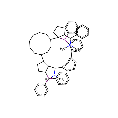 CN(C)[C@@H]1c2cccc(c2)-c2ccccc2P(c2ccccc2)C2(CCCC2[C@@H](c2ccccc2)N(C)C)C2CCCCCCC(CC2)C2CCC(P(c3ccccc3)c3ccccc3)C21